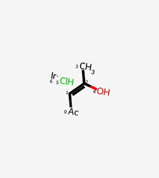 CC(=O)/C=C(/C)O.Cl.[Ir]